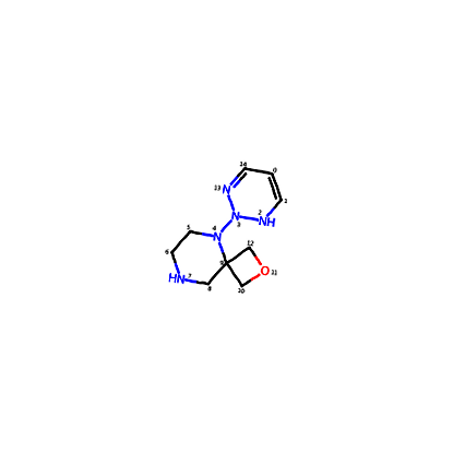 C1=CNN(N2CCNCC23COC3)N=C1